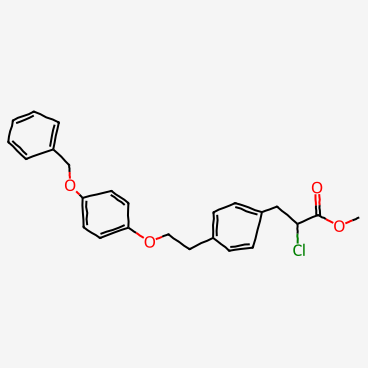 COC(=O)C(Cl)Cc1ccc(CCOc2ccc(OCc3ccccc3)cc2)cc1